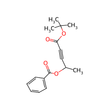 CC(C#CC(=O)OC(C)(C)C)OC(=O)c1ccccc1